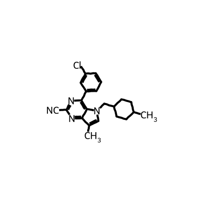 Cc1cn(CC2CCC(C)CC2)c2c(-c3cccc(Cl)c3)nc(C#N)nc12